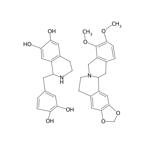 COc1ccc2c(c1OC)CN1CCc3cc4c(cc3C1C2)OCO4.Oc1ccc(CC2NCCc3cc(O)c(O)cc32)cc1O